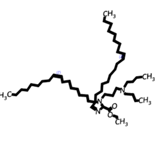 CCCCCCCC/C=C\CCCCCCCC1(CCCCCCC/C=C\CCCCCCCC)C=NC(C(=O)OCC)N1CCCN(CCCC)CCCC